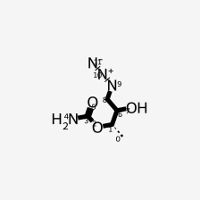 C[C@H](OC(N)=O)C(O)CN=[N+]=[N-]